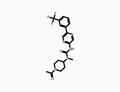 CC(=O)N1CCC(N(C)C(=O)Nc2cnc(-c3cccc(C(F)(F)F)c3)cn2)CC1